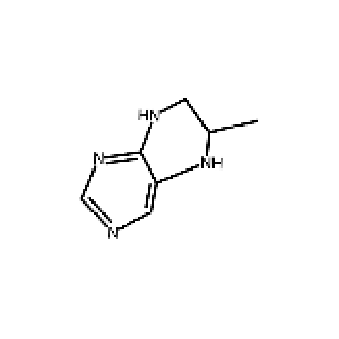 CC1CNc2ncncc2N1